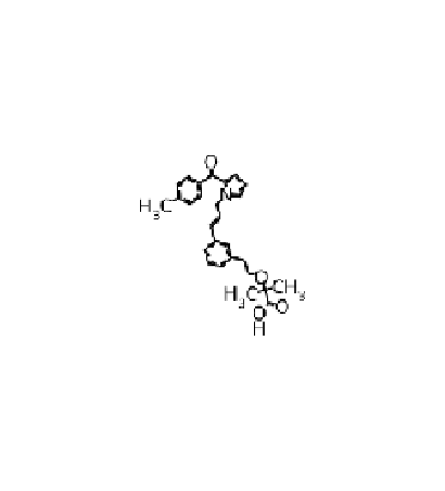 Cc1ccc(C(=O)c2cccn2C/C=C/c2cccc(CCOC(C)(C)C(=O)O)c2)cc1